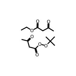 CC(=O)CC(=O)OOC(C)(C)C.CCOC(=O)CC(C)=O